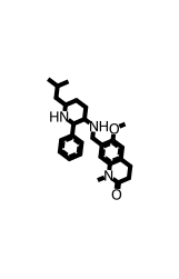 COc1cc2c(cc1CNC1CCC(CC(C)C)NC1c1ccccc1)N(C)C(=O)CC2